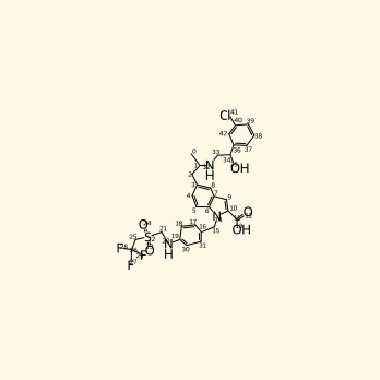 CC(Cc1ccc2c(c1)cc(C(=O)O)n2Cc1ccc(NCS(=O)(=O)CC(F)(F)F)cc1)NCC(O)c1cccc(Cl)c1